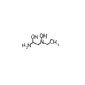 CCN(O)CC(N)O